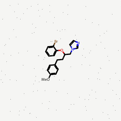 COc1ccc(CCC(Cn2ccnc2)Oc2ccccc2Br)cc1